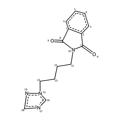 O=C1c2ccccc2C(=O)N1CCCCn1cncn1